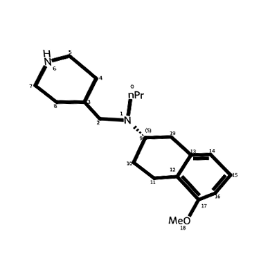 CCCN(CC1CCNCC1)[C@H]1CCc2c(cccc2OC)C1